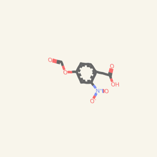 O=COc1ccc(C(=O)O)c([N+](=O)[O-])c1